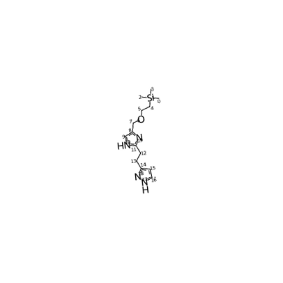 C[Si](C)(C)CCOCc1c[nH]c(CCc2c[c][nH]n2)n1